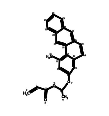 C=CC(=O)OC(C)Oc1cc([SiH3])c2c(ccc3cc4ccccc4cc32)c1